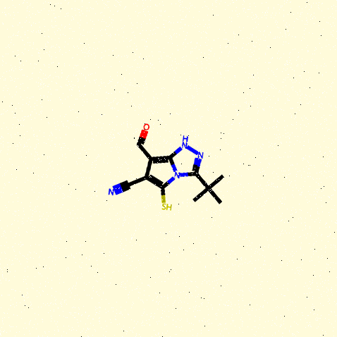 CC(C)(C)c1n[nH]c2c(C=O)c(C#N)c(S)n12